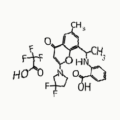 Cc1cc(C(C)Nc2ccccc2C(=O)O)c2oc(N3CCC(F)(F)C3)cc(=O)c2c1.O=C(O)C(F)(F)F